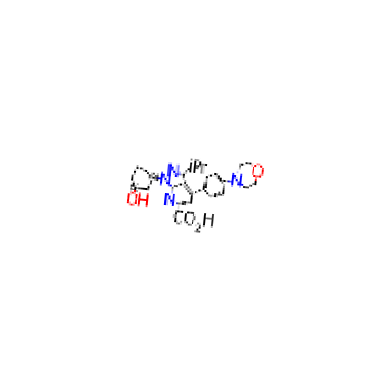 CC(C)c1nn([C@@H]2CCC[C@H](O)C2)c2nc(C(=O)O)cc(-c3ccc(N4CCOCC4)cc3)c12